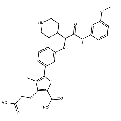 COc1cccc(NC(=O)C(Nc2cccc(-c3sc(C(=O)O)c(OCC(=O)O)c3C)c2)C2CCNCC2)c1